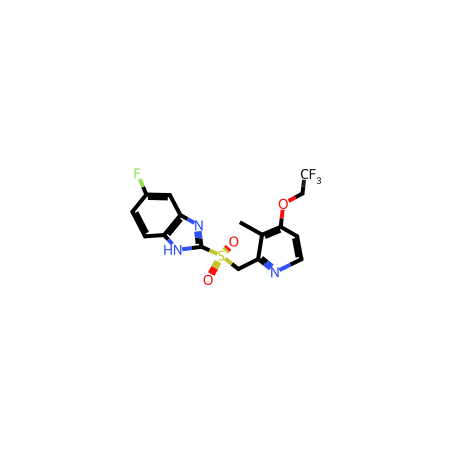 Cc1c(OCC(F)(F)F)ccnc1CS(=O)(=O)c1nc2cc(F)ccc2[nH]1